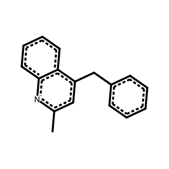 Cc1cc(Cc2ccccc2)c2ccccc2n1